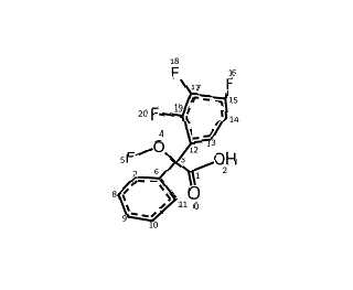 O=C(O)C(OF)(c1ccccc1)c1ccc(F)c(F)c1F